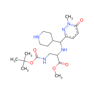 COC(=O)C(CNC(=O)OC(C)(C)C)NC(c1ccc(=O)n(C)n1)C1CCNCC1